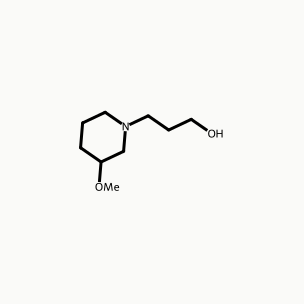 COC1CCCN(CCCO)C1